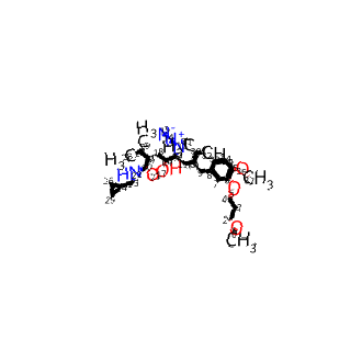 COCCCOc1cc(C[C@@H](C[C@H](N=[N+]=[N-])[C@@H](O)C[C@H](C(=O)NCC2CC2)C(C)C)C(C)C)ccc1OC